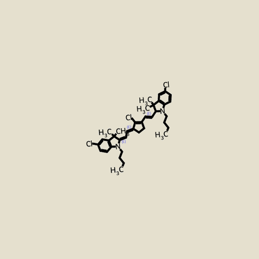 CCCCN1/C(=C/C=C2\CCC(/C=C/C3N(CCCC)c4ccc(Cl)cc4C3(C)C)=C2Cl)C(C)(C)c2cc(Cl)ccc21